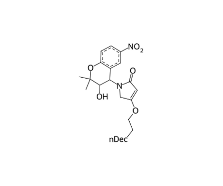 CCCCCCCCCCCCOC1=CC(=O)N(C2c3cc([N+](=O)[O-])ccc3OC(C)(C)C2O)C1